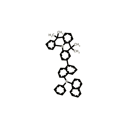 CC1(C)c2ccccc2N2c3ccc(-c4cccc5c(N(c6ccccc6)c6cccc7ccccc67)cccc45)cc3C(C)(C)c3cccc1c32